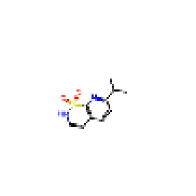 CC(C)c1ccc2c(n1)S(=O)(=O)NC=C2